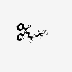 O=C(CCN(C(=O)C1=CC=C=C=C1)c1ccccn1)OCC(F)(F)C(F)(F)F